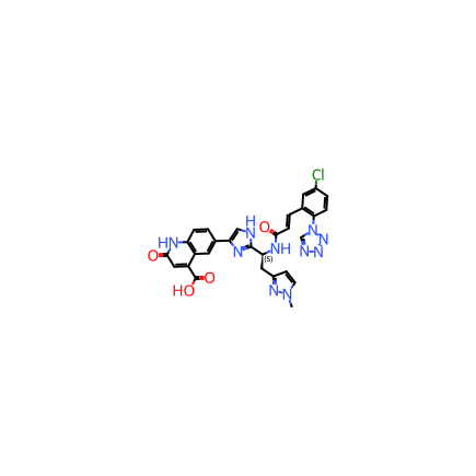 Cn1ccc(C[C@H](NC(=O)C=Cc2cc(Cl)ccc2-n2cnnn2)c2nc(-c3ccc4[nH]c(=O)cc(C(=O)O)c4c3)c[nH]2)n1